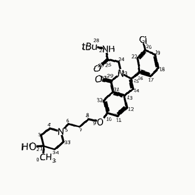 CC1(O)CCN(CCCOc2ccc3cc(-c4cccc(Cl)c4)n(CC(=O)NC(C)(C)C)c(=O)c3c2)CC1